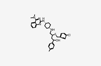 Cc1ccc(C(O)CC(CN[C@H]2CC[C@@H](Nc3nc(N(C)C)c4ccccc4n3)CC2)SCc2ccc(Cl)cc2)cc1